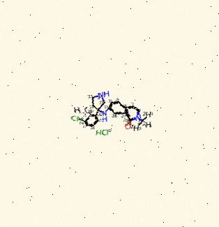 Cl.[2H]C([2H])([2H])n1ccc2ccc(NC3(c4cccc(Cl)c4C)CCNC3)cc2c1=O